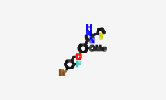 COc1cc(OCc2ccc(Br)cc2F)ccc1-c1c[nH]c(-c2cccs2)n1